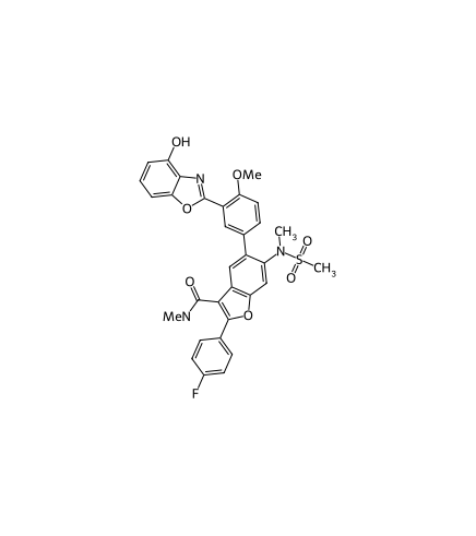 CNC(=O)c1c(-c2ccc(F)cc2)oc2cc(N(C)S(C)(=O)=O)c(-c3ccc(OC)c(-c4nc5c(O)cccc5o4)c3)cc12